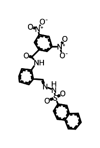 O=C(Nc1ccccc1/C=N/NS(=O)(=O)c1ccc2ccccc2c1)c1cc([N+](=O)[O-])cc([N+](=O)[O-])c1